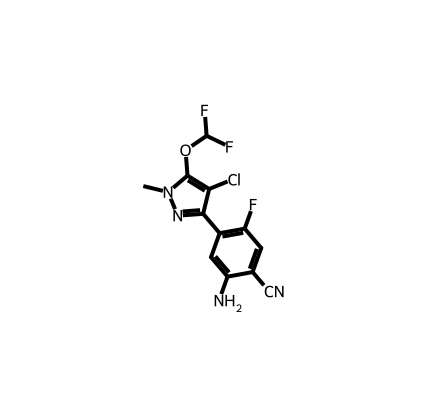 Cn1nc(-c2cc(N)c(C#N)cc2F)c(Cl)c1OC(F)F